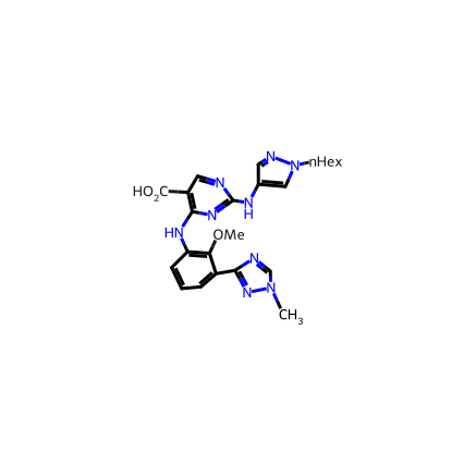 CCCCCCn1cc(Nc2ncc(C(=O)O)c(Nc3cccc(-c4ncn(C)n4)c3OC)n2)cn1